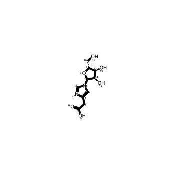 O=C(O)Cc1cn(C2O[C@H](CO)[C@@H](O)[C@H]2O)cn1